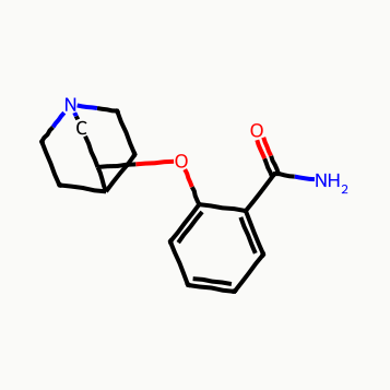 NC(=O)c1ccccc1OC1CN2CCC1CC2